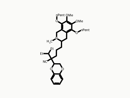 CCCCCOc1c2c(c(OCCCCC)c(OC)c1OC)CN(C)C(CCCC(C#N)(C(CC)CC)C1COc3ccccc3O1)C2